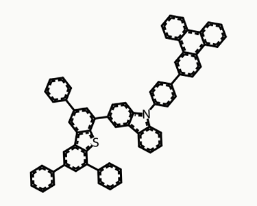 c1ccc(-c2cc(-c3ccccc3)c3sc4c(-c5ccc6c(c5)c5ccccc5n6-c5ccc(-c6ccc7c8ccccc8c8ccccc8c7c6)cc5)cc(-c5ccccc5)cc4c3c2)cc1